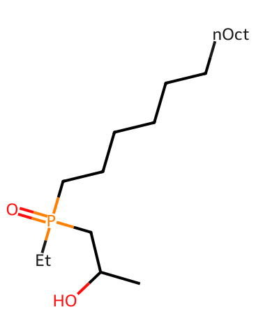 CCCCCCCCCCCCCCP(=O)(CC)CC(C)O